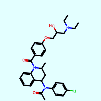 CCN(CC)CC(O)COc1ccc(C(=O)N2c3ccccc3C(N(C(C)=O)c3ccc(Cl)cc3)CC2C)cc1